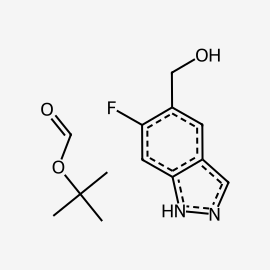 CC(C)(C)OC=O.OCc1cc2cn[nH]c2cc1F